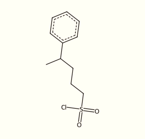 CC(CCCS(=O)(=O)Cl)c1ccccc1